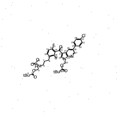 CC(C)(C)C(=O)OCN(CCCc1ccc(F)c(C(=O)c2cn(COC(=O)C(C)(C)C)c3ncc(-c4ccc(Cl)cc4)cc23)c1F)[SH](=O)=O